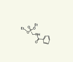 CCOP(=O)(CNC(=O)c1ccccc1)OCC